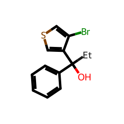 CCC(O)(c1ccccc1)c1cscc1Br